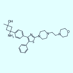 CC1(O)CC(N)(c2ccc(-c3nc(N4CCN(CCN5CCOCC5)CC4)sc3-c3ccccc3)cc2)C1